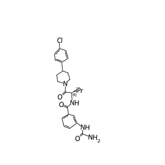 CC(C)[C@@H](NC(=O)c1cccc(NC(N)=O)c1)C(=O)N1CCC(c2ccc(Cl)cc2)CC1